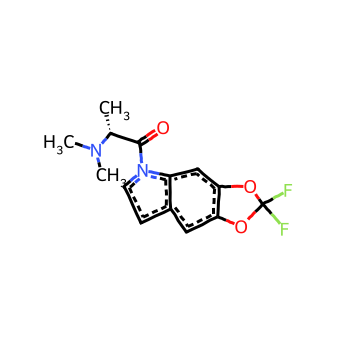 C[C@H](C(=O)n1ccc2cc3c(cc21)OC(F)(F)O3)N(C)C